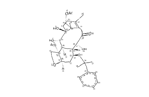 CC(=O)O[C@H]1C[C@@]2(O)[C@@H](O)[C@@H]3[C@]4(OC(C)=O)CO[C@@H]4C[C@H](OC(C)(C)c4ccccc4)[C@@]3(C)[C@@H](O)C(=O)C(=C1C)C2(C)C